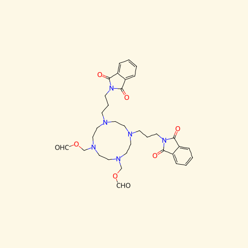 O=COCN1CCN(CCCN2C(=O)c3ccccc3C2=O)CCN(CCCN2C(=O)c3ccccc3C2=O)CCN(COC=O)CC1